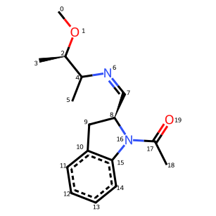 CO[C@H](C)C(C)/N=C\[C@@H]1Cc2ccccc2N1C(C)=O